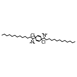 CCCCCCCCCCCCC(N(C)C)C1(Cl)C=CC(Cl)(C(CCCCCCCCCCCC)N(C)C)C=C1